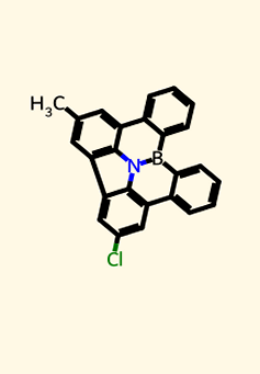 Cc1cc2c3c(c1)c1cc(Cl)cc4c1n3B(c1ccccc1-2)c1ccccc1-4